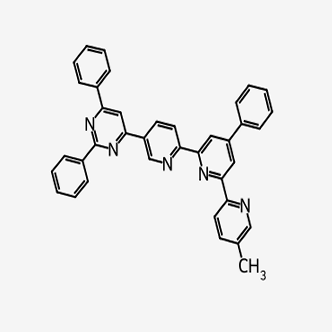 Cc1ccc(-c2cc(-c3ccccc3)cc(-c3ccc(-c4cc(-c5ccccc5)nc(-c5ccccc5)n4)cn3)n2)nc1